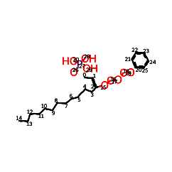 CC=C(CCCCCCCCCCCC)OOOOOc1ccccc1.O=P(O)(O)O